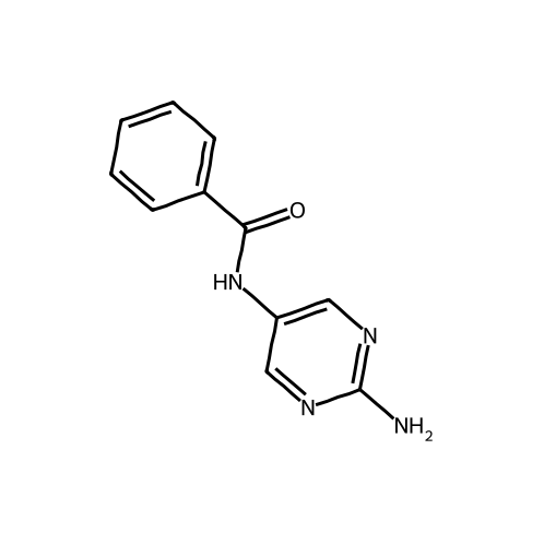 Nc1ncc(NC(=O)c2ccccc2)cn1